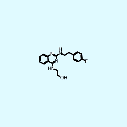 OCCNc1nc(NCCc2ccc(F)cc2)nc2ccccc12